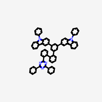 c1ccc(-c2nc(-c3ccccc3)nc(-c3ccccc3-c3ccccc3-c3cc(-c4ccc5c(c4)c4ccccc4n5-c4ccccc4)cc(-c4ccc5c(c4)c4ccccc4n5-c4ccccc4)c3)n2)cc1